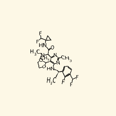 Cc1nc(N[C@H](C)c2cccc(C(F)F)c2F)c(C2OCCO2)c(C(C(=O)NC2(C(F)F)CC2)N(C)C)n1